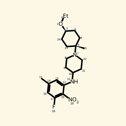 CCO[C@H]1CC[C@](C)(N2CCC(Nc3cc(C)cc(F)c3[N+](=O)[O-])CC2)CC1